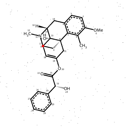 COc1ccc2c(c1C)[C@]13CCN(C)[C@H](C2)[C@]1(O)CC=C(OC(=O)[C@H](O)c1ccccc1)C3